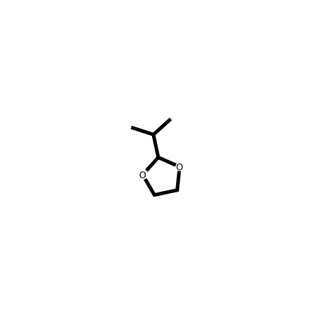 CC(C)[C]1OCCO1